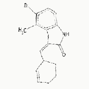 Cc1c(Br)ccc2c1C(=CC1C=CCCC1)C(=O)N2